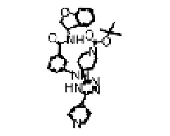 CC(C)(C)OC(=O)N1CCC(Nc2cccc(C(=O)N[C@H]3COc4ccccc43)c2)(c2nnc(-c3ccncc3)[nH]2)CC1